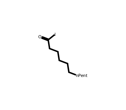 CCCCCCCCCCC(=O)I